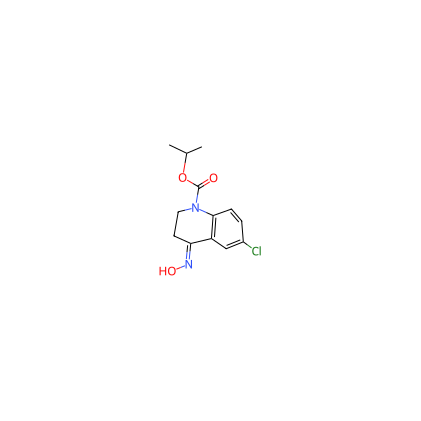 CC(C)OC(=O)N1CCC(=NO)c2cc(Cl)ccc21